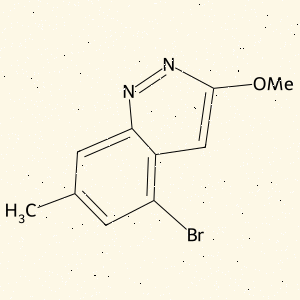 COc1cc2c(Br)cc(C)cc2nn1